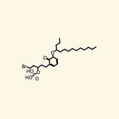 CCCCCCCCCCC(CCC)OC1C=CC=C(CCC(CCBr)OP(=O)(O)O)C1=O